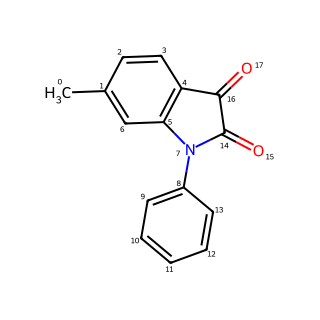 Cc1ccc2c(c1)N(c1ccccc1)C(=O)C2=O